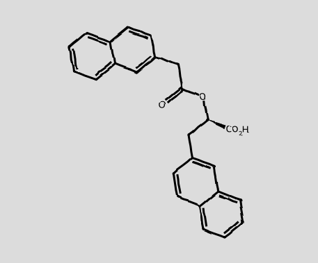 O=C(Cc1ccc2ccccc2c1)O[C@H](Cc1ccc2ccccc2c1)C(=O)O